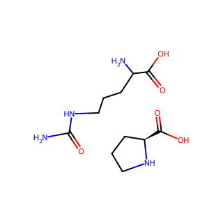 NC(=O)NCCCC(N)C(=O)O.O=C(O)[C@@H]1CCCN1